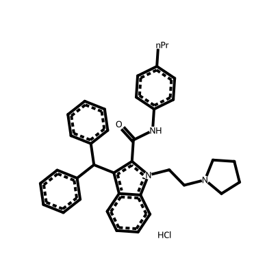 CCCc1ccc(NC(=O)c2c(C(c3ccccc3)c3ccccc3)c3ccccc3n2CCN2CCCC2)cc1.Cl